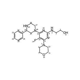 OCCNc1nc(N2CCOCC2)c(F)c(N2CCNC(c3ccccc3)C2)n1